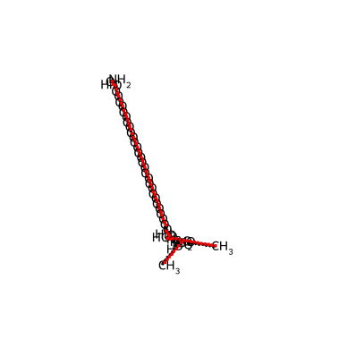 CCCCCCCCCCCCCCOC(=O)OCC[C@H](CSC[C@H](N)C(=O)N[C@@H](CO)C(=O)NCCOCCOCCOCCOCCOCCOCCOCCOCCOCCOCCOCCOCCOCCOCCOCCOCCOCCOCCOCCOCCOCCOCCOCCOCCOCCOCCOCCOCCC(=O)NCC(N)=O)OC(=O)OCCCCCCCCCCCCCC